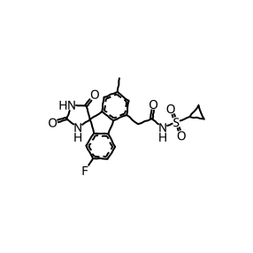 Cc1cc(CC(=O)NS(=O)(=O)C2CC2)c2c(c1)C1(NC(=O)NC1=O)c1cc(F)ccc1-2